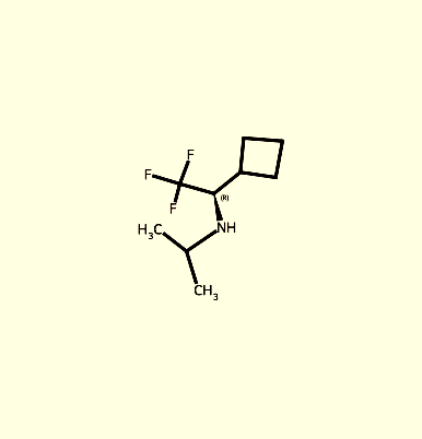 CC(C)N[C@H](C1CCC1)C(F)(F)F